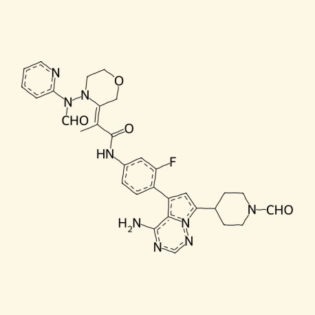 C/C(C(=O)Nc1ccc(-c2cc(C3CCN(C=O)CC3)n3ncnc(N)c23)c(F)c1)=C1/COCCN1N(C=O)c1ccccn1